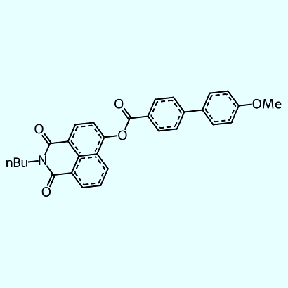 CCCCN1C(=O)c2cccc3c(OC(=O)c4ccc(-c5ccc(OC)cc5)cc4)ccc(c23)C1=O